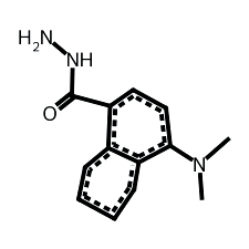 CN(C)c1ccc(C(=O)NN)c2ccccc12